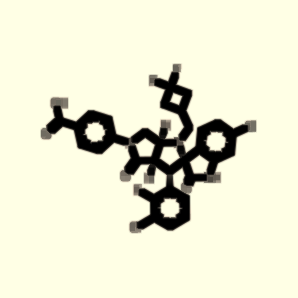 O=C(O)c1ccc(N2C[C@H]3[C@@H](C2=O)[C@H](c2cccc(Cl)c2F)[C@]2(C(=O)Nc4cc(Cl)ccc42)N3CC2CC(F)(F)C2)cc1